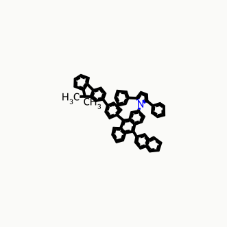 CC1(C)c2ccccc2-c2ccc(-c3ccc(-c4c5ccccc5c(-c5ccc6ccccc6c5)c5ccc(-n6c(-c7ccccc7)ccc6-c6ccccc6)cc45)cc3)cc21